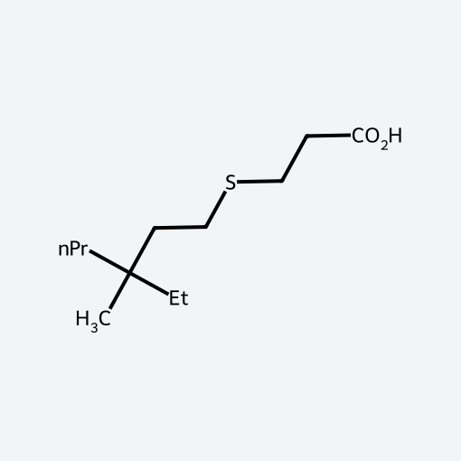 CCCC(C)(CC)CCSCCC(=O)O